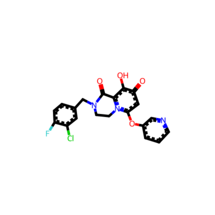 O=C1c2c(O)c(=O)cc(Oc3cccnc3)n2CCN1Cc1ccc(F)c(Cl)c1